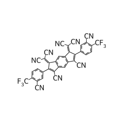 N#CC(C#N)=C1C(c2ccc(C(F)(F)F)c(C#N)c2)=C(C#N)c2cc3c(cc21)C(=C(C#N)C#N)C(c1ccc(C(F)(F)F)c(C#N)c1)=C3C#N